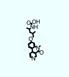 CC(COc1ccc2c3ccncc3c(=O)n(C)c2c1)CC(C)NC(=O)O